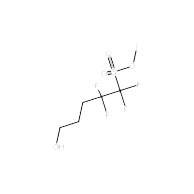 O=S(=O)(OI)C(F)(F)C(F)(F)CCCO